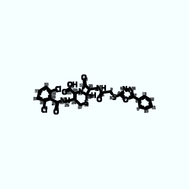 O=C(CSc1nnc(-c2ccccc2)o1)NC1C(=O)N2C(C(=O)O)=C(CNC(=O)c3c(Cl)cccc3Cl)CS[C@@H]12